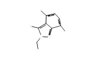 CCn1nc2c(C)ccc(Br)c2c1N